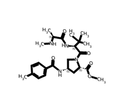 CN[C@@H](C)C(=O)N[C@H](C(=O)N1C[C@@H](NC(=O)c2ccc(C)cc2)C[C@H]1C(=O)OC)C(C)(C)C